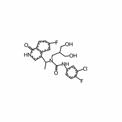 CC(c1c[nH]c(=O)c2ccc(F)cc12)N(CC(CO)CO)C(=O)Nc1ccc(F)c(Cl)c1